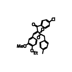 CCOc1ccc(C=C(C(=O)c2ccc(Cl)cc2)S(=O)(=O)Cc2ccc(C)cc2)cc1OC